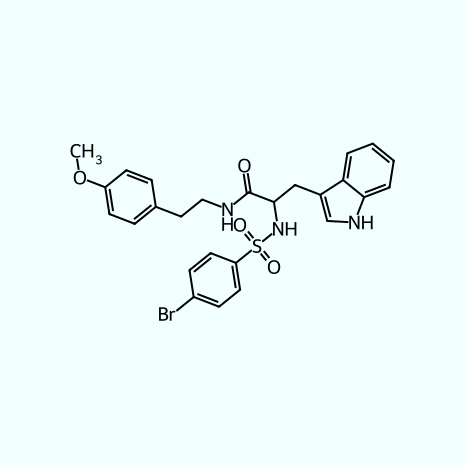 COc1ccc(CCNC(=O)C(Cc2c[nH]c3ccccc23)NS(=O)(=O)c2ccc(Br)cc2)cc1